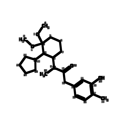 COC1(OC)CCCC(N(C)C(=O)Cc2ccc(C)c(O)c2)C1N1CCCC1